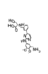 COc1cc(Nc2nccc(-c3cccc(CNC(CO)C(=O)O)c3)n2)cc(CN)c1OC